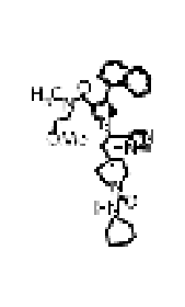 COCCN(C)C(=O)c1cn(C(CC2CCN(C(=O)NC3CCCCC3)CC2)c2cnc[nH]2)cc1-c1cccc2ccccc12